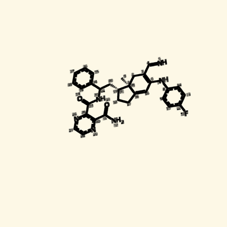 C[C@]12CC(C=N)=C(Nc3ccc(F)cc3)C=C1CC[C@@H]2CC(NC(=O)c1nccnc1C(N)=O)c1ccccc1